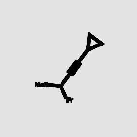 CNC(C#CC1CC1)C(C)C